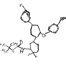 CC(C)(C)OC(=O)NC1CN(C2CC(c3ccc(F)cc3)CC2Oc2ccc(C#N)cc2)CCC1(F)F